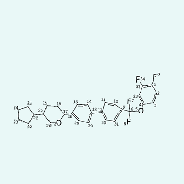 Fc1ccc(OC(F)(F)c2ccc(-c3ccc(C4CCC(C5CCCC5)CO4)cc3)cc2)cc1F